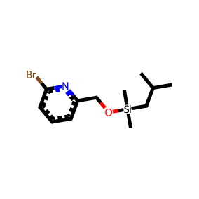 CC(C)C[Si](C)(C)OCc1cccc(Br)n1